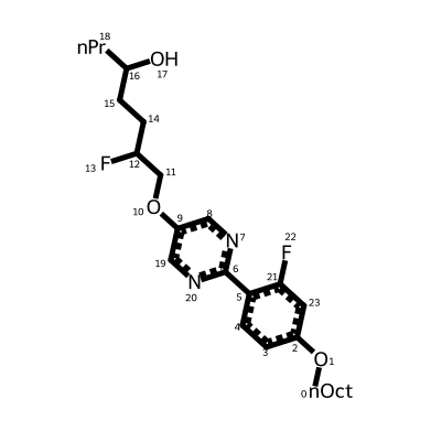 CCCCCCCCOc1ccc(-c2ncc(OCC(F)CCC(O)CCC)cn2)c(F)c1